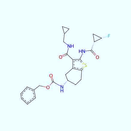 O=C(N[C@H]1CCc2sc(NC(=O)[C@@H]3C[C@@H]3F)c(C(=O)NCC3CC3)c2C1)OCc1ccccc1